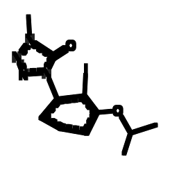 CC(C)Oc1cccc(-n2nnn(C)c2=O)c1I